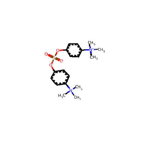 C[N+](C)(C)c1ccc(OS(=O)(=O)Oc2ccc([N+](C)(C)C)cc2)cc1